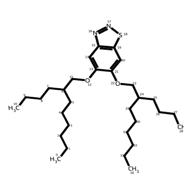 CCCCCCC(CCCC)COc1cc2nnsc2cc1OCC(CCCC)CCCCCC